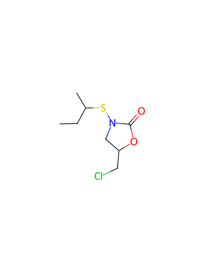 CCC(C)SN1CC(CCl)OC1=O